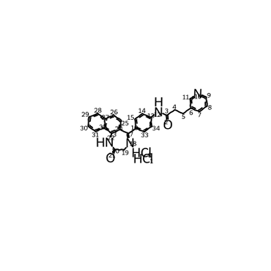 Cl.Cl.O=C(CCc1cccnc1)Nc1ccc(C2=NCC(=O)Nc3c2ccc2ccccc32)cc1